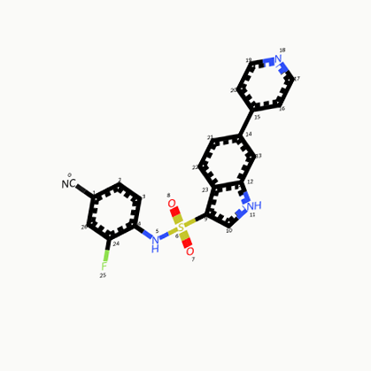 N#Cc1ccc(NS(=O)(=O)c2c[nH]c3cc(-c4ccncc4)ccc23)c(F)c1